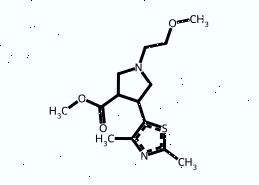 COCCN1CC(C(=O)OC)C(c2sc(C)nc2C)C1